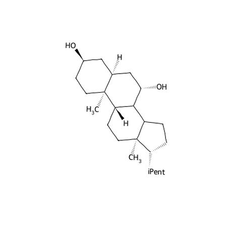 CCC[C@@H](C)[C@H]1CCC2C3[C@@H](O)C[C@@H]4C[C@H](O)CC[C@]4(C)[C@H]3CC[C@@]21C